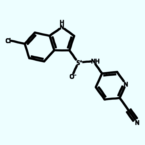 N#Cc1ccc(N[S+]([O-])c2c[nH]c3cc(Cl)ccc23)cn1